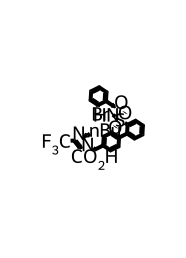 CCCCc1nc(C(F)(F)F)c(C(=O)O)n1Cc1ccc(-c2ccccc2S(=O)(=O)NC(=O)c2ccccc2Br)cc1